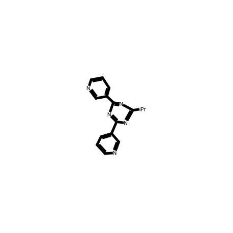 CC(C)c1nc(-c2cccnc2)nc(-c2cccnc2)n1